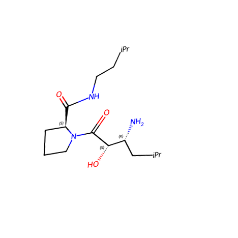 CC(C)CCNC(=O)[C@@H]1CCCN1C(=O)[C@@H](O)[C@H](N)CC(C)C